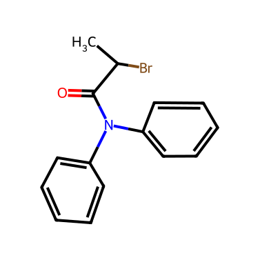 CC(Br)C(=O)N(c1ccccc1)c1ccccc1